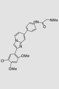 CNCC(=O)Nc1ccc(-c2ccn3cc(-c4cc(Cl)c(OC)cc4OC)nc3c2)cc1